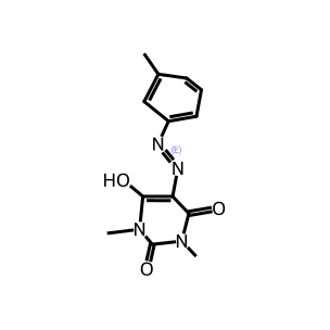 Cc1cccc(/N=N/c2c(O)n(C)c(=O)n(C)c2=O)c1